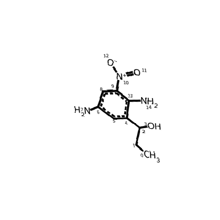 CCC(O)c1cc(N)cc([N+](=O)[O-])c1N